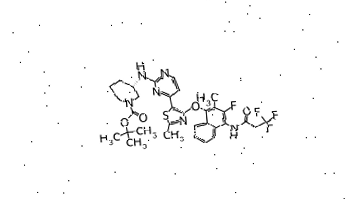 Cc1nc(Oc2c(C)c(F)c(NC(=O)CC(F)(F)F)c3ccccc23)c(-c2ccnc(N[C@H]3CCCN(C(=O)OC(C)(C)C)C3)n2)s1